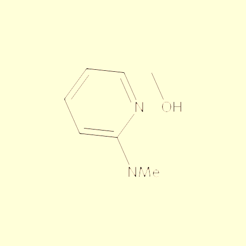 CNc1ccccn1.CO